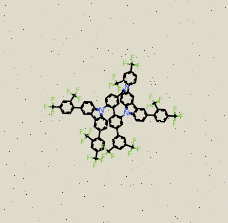 N#Cc1ccc(-n2c3ccc(-c4ccc(C(F)(F)F)cc4C(F)(F)F)cc3c3cc(-c4ccc(C(F)(F)F)cc4C(F)(F)F)ccc32)c(-c2ccc(-c3cc(C(F)(F)F)cc(C(F)(F)F)c3)cc2-n2c3ccc(-c4ccc(C(F)(F)F)cc4C(F)(F)F)cc3c3cc(-c4ccc(C(F)(F)F)cc4C(F)(F)F)ccc32)c1